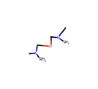 CN([SiH3])COCN(C)[SiH3]